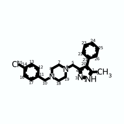 Cc1[nH]nc(CN2CCN(Cc3ccc(Cl)cc3)CC2)c1-c1ccccc1